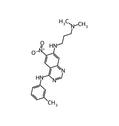 Cc1cccc(Nc2ncnc3cc(NCCCN(C)C)c([N+](=O)[O-])cc23)c1